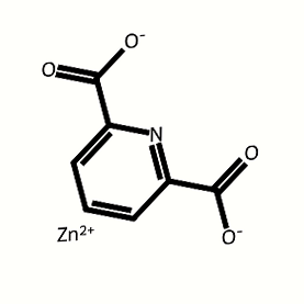 O=C([O-])c1cccc(C(=O)[O-])n1.[Zn+2]